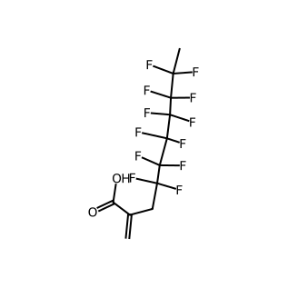 C=C(CC(F)(F)C(F)(F)C(F)(F)C(F)(F)C(F)(F)C(C)(F)F)C(=O)O